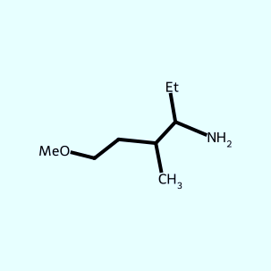 CCC(N)C(C)CCOC